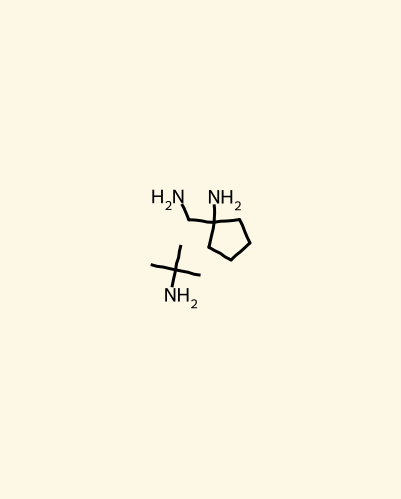 CC(C)(C)N.NCC1(N)CCCC1